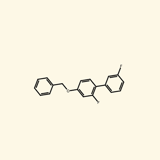 Fc1cccc(-c2ccc(OCc3ccccc3)cc2F)c1